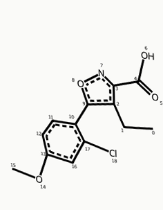 CCc1c(C(=O)O)noc1-c1ccc(OC)cc1Cl